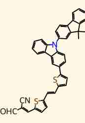 CC1(C)c2ccccc2-c2ccc(-n3c4ccccc4c4cc(-c5ccc(C=Cc6ccc(C=C([C]=O)C#N)s6)s5)ccc43)cc21